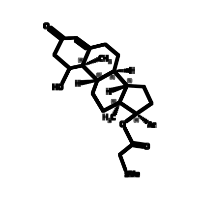 CSCC(=O)O[C@]1(C(C)=O)CC[C@H]2[C@@H]3CCC4=CC(=O)CC(O)[C@]4(C)[C@H]3CC[C@@]21C